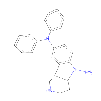 NN1c2ccc(N(c3ccccc3)c3ccccc3)cc2C2CNCCC21